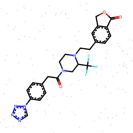 O=C1OCc2cc(CCN3CCN(C(=O)Cc4ccc(-n5cnnn5)cc4)CC3C(F)(F)F)ccc21